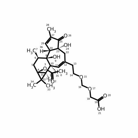 CC(=O)O[C@@]12C[C@@H](C)[C@@]3(O)[C@@H](C=C(CCOCOCC(=O)O)C[C@]4(O)C(=O)C(C)=C[C@@H]34)[C@H]1C2(C)C